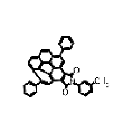 Cc1cccc(-n2c(=O)c3c4cc(-c5ccccc5)c5ccc6ccc7c(-c8ccccc8)cc(c3c2=O)c2c7c6c5c42)c1